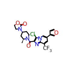 C[C@H]1C[C@@H](N2CCOC2=O)CCN1C(=O)c1nc2c(C(F)(F)F)cc(-c3ccoc3)cn2c1Cl